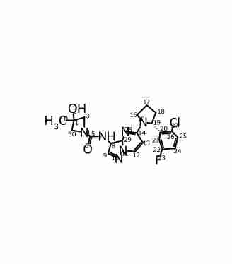 CC1(O)CN(C(=O)NC2C=NN3C=CC(N4CCC[C@@H]4c4cc(F)ccc4Cl)=NC23)C1